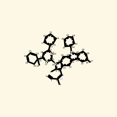 C#C/C(C)=C\c1c(C)n(-c2nc(-c3ccccc3)cc(C3(C)C=CC=CC3)n2)c2cc3c(cc12)c1cc(C)ccc1n3-c1ccccc1